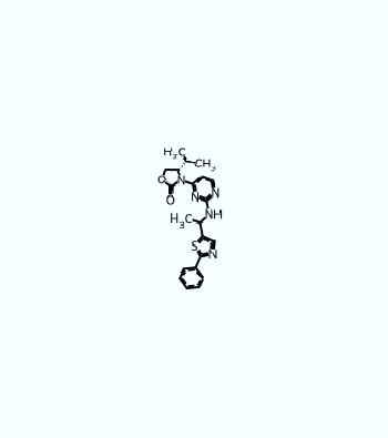 CC(Nc1nccc(N2C(=O)OC[C@@H]2C(C)C)n1)c1cnc(-c2ccccc2)s1